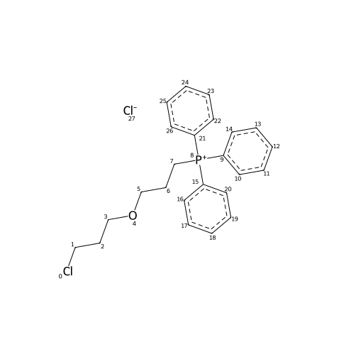 ClCCCOCCC[P+](c1ccccc1)(c1ccccc1)c1ccccc1.[Cl-]